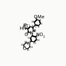 COc1cccc(-c2cc(NC(C)C)c(=O)n(-c3cc(N4CCOCC4)ccc3[N+](=O)[O-])n2)c1